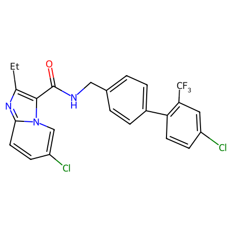 CCc1nc2ccc(Cl)cn2c1C(=O)NCc1ccc(-c2ccc(Cl)cc2C(F)(F)F)cc1